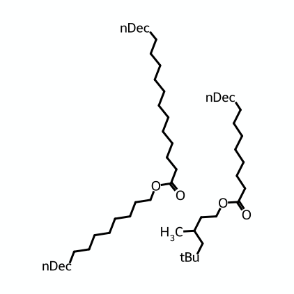 CCCCCCCCCCCCCCCCCC(=O)OCCC(C)CC(C)(C)C.CCCCCCCCCCCCCCCCCCCCCC(=O)OCCCCCCCCCCCCCCCCCC